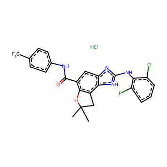 CC1(C)Cc2c(c(C(=O)Nc3ccc(C(F)(F)F)cc3)cc3nc(Nc4c(F)cccc4Cl)[nH]c23)O1.Cl